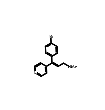 CNCC=C(c1ccncc1)c1ccc(Br)cc1